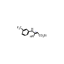 CCC/C(=C\C(=O)OCC)Nc1cccc(C(F)(F)F)c1